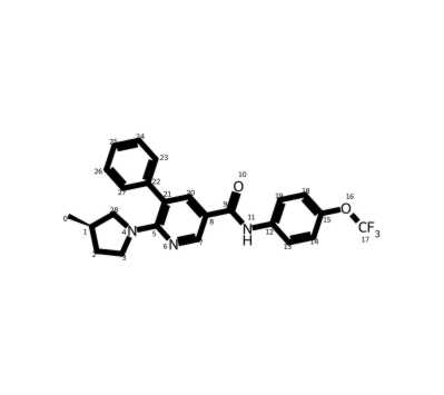 C[C@@H]1CCN(c2ncc(C(=O)Nc3ccc(OC(F)(F)F)cc3)cc2-c2ccccc2)C1